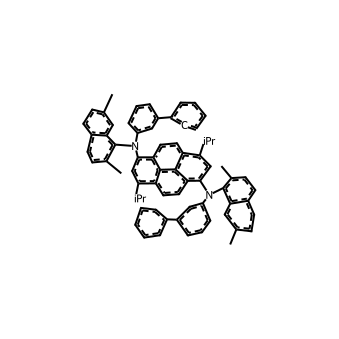 Cc1ccc2ccc(C)c(N(c3cccc(-c4ccccc4)c3)c3cc(C(C)C)c4ccc5c(N(c6cccc(-c7ccccc7)c6)c6c(C)ccc7ccc(C)cc67)cc(C(C)C)c6ccc3c4c65)c2c1